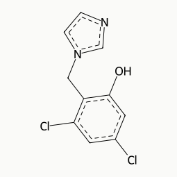 Oc1cc(Cl)cc(Cl)c1Cn1ccnc1